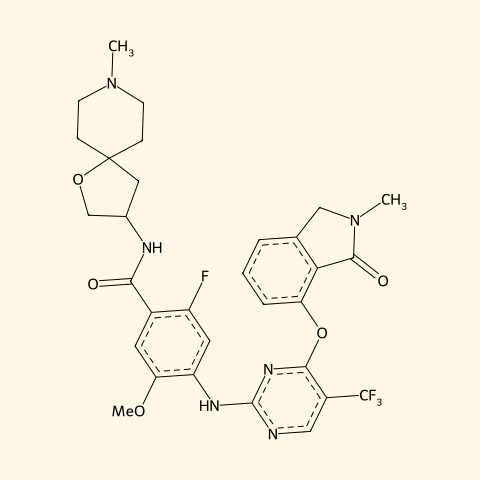 COc1cc(C(=O)NC2COC3(CCN(C)CC3)C2)c(F)cc1Nc1ncc(C(F)(F)F)c(Oc2cccc3c2C(=O)N(C)C3)n1